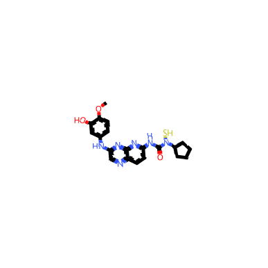 COc1ccc(Nc2cnc3ccc(NC(=O)N(S)C4CCCC4)nc3n2)cc1O